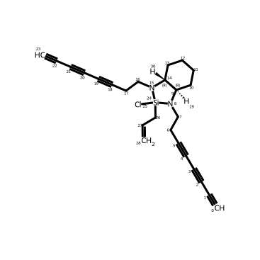 C#CC#CC#CCCN1[C@@H]2CCCC[C@H]2N(CCC#CC#CC#C)[Si]1(Cl)CC=C